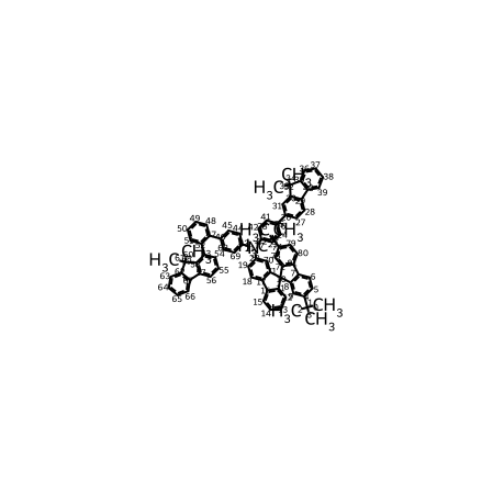 CC(C)(C)c1ccc2c(c1)C1(c3ccccc3-c3ccc(N(c4ccc(-c5ccc6c(c5)C(C)(C)c5ccccc5-6)cc4)c4ccc(-c5ccccc5-c5cccc6c5C(C)(C)c5ccccc5-6)cc4)cc31)c1cc(C(C)(C)C)ccc1-2